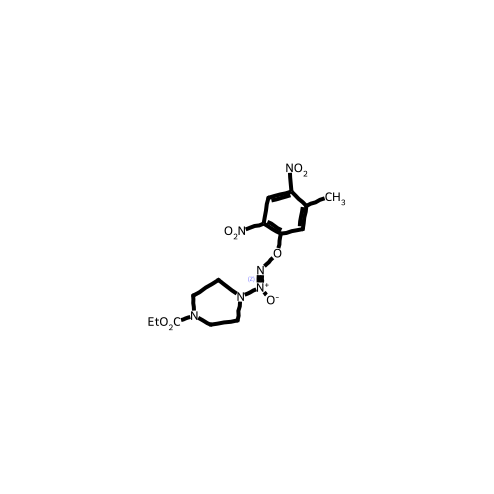 CCOC(=O)N1CCN(/[N+]([O-])=N/Oc2cc(C)c([N+](=O)[O-])cc2[N+](=O)[O-])CC1